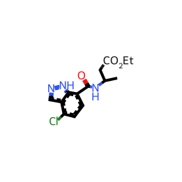 CCOC(=O)CC(C)NC(=O)c1ccc(Cl)c2cn[nH]c12